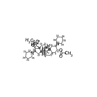 CC(=O)OC1CC2CC[C@@H]3[C@@H](CC[C@]4(C)C(OC(C)=O)C(N5CCCCC5)C[C@@H]34)[C@@]2(C)CC1N1CCCCC1